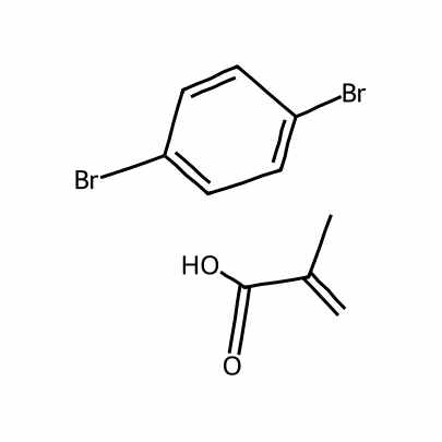 Brc1ccc(Br)cc1.C=C(C)C(=O)O